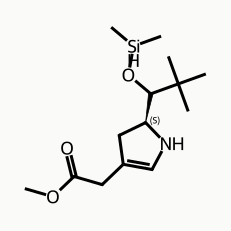 COC(=O)CC1=CN[C@H](C(O[SiH](C)C)C(C)(C)C)C1